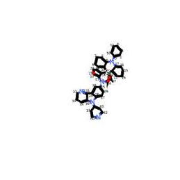 c1ccc(N2c3ccccc3[Si]3(c4ccccc42)c2ccccc2N(c2ccc4c(c2)c2ncccc2n4-c2ccncc2)c2ccccc23)cc1